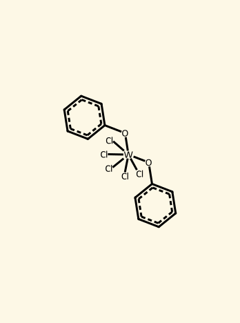 [Cl][W]([Cl])([Cl])([Cl])([Cl])([O]c1ccccc1)[O]c1ccccc1